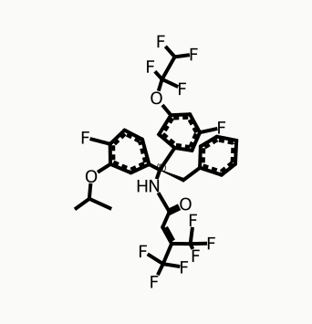 CC(C)Oc1cc([C@@](Cc2ccccc2)(NC(=O)C=C(C(F)(F)F)C(F)(F)F)c2cc(F)cc(OC(F)(F)C(F)F)c2)ccc1F